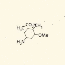 CC(=O)O.COC1CC(N)CCC1C